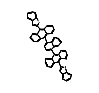 c1ccc2sc(-c3c4ccccc4c(-c4ccc(-c5c6ccccc6c(-c6cc7ccccc7s6)c6ccccc56)c5ccccc45)c4ccccc34)cc2c1